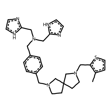 Cc1ccsc1CN1CCC2(CCN(Cc3ccc(CN(Cc4ncc[nH]4)Cc4ncc[nH]4)cc3)C2)C1